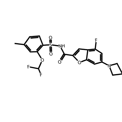 Cc1ccc(S(=O)(=O)NC(=O)c2cc3c(F)cc(N4CCC4)cc3o2)c(OC(F)F)c1